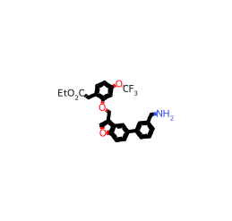 CCOC(=O)Cc1ccc(OC(F)(F)F)cc1OCc1coc2ccc(-c3cccc(CN)c3)cc12